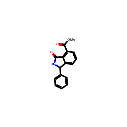 COC(=O)c1cccc2c1C(=O)NC2c1ccccc1